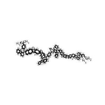 C=C/C=C\c1c(C)oc2c(N(c3ccc4cc5c(cc4c3)oc3cc4oc6cc7cc(N(c8ccccc8C)c8ccc(CC(C)c9ccc(N(c%10ccc%11cc%12c(cc%11c%10)oc%10cc%11oc%13cc%14cc(N(c%15ccc(C(C)C)cc%15)c%15cccc%16c%15oc%15ccccc%15%16)ccc%14cc%13c%11cc%10%12)c%10cccc%11c%10oc%10ccccc%10%11)cc9)c9c8oc8ccccc89)ccc7cc6c4cc35)c3ccccc3C)cccc12